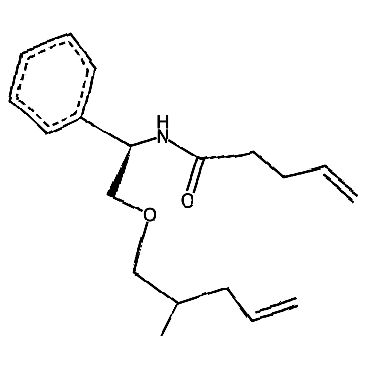 C=CCCC(=O)N[C@@H](COCC(C)CC=C)c1ccccc1